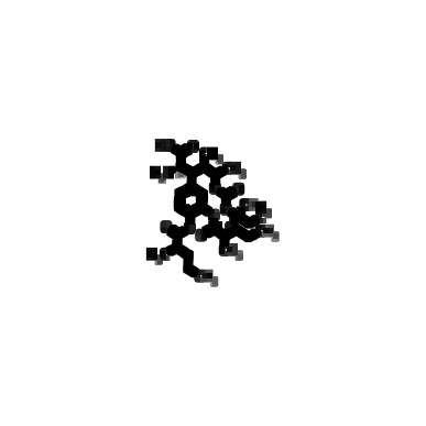 CCCC(C)C(=O)Oc1ccc(C(C(C)C(C)OC(=O)OC(C)(C)CC)[C@H](N)C(=O)O)cc1OC(=O)C(C)CCC